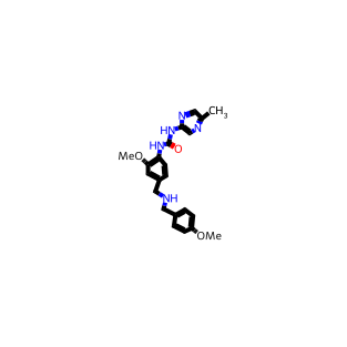 COc1ccc(CNCc2ccc(NC(=O)Nc3cnc(C)cn3)c(OC)c2)cc1